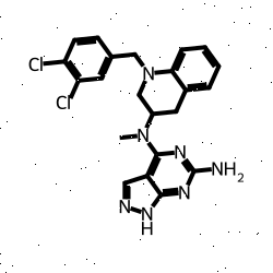 CN(c1nc(N)nc2[nH]ncc12)C1Cc2ccccc2N(Cc2ccc(Cl)c(Cl)c2)C1